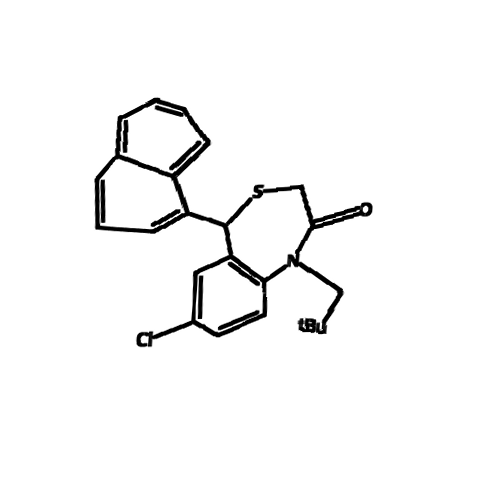 CC(C)(C)CN1C(=O)CSC(c2cccc3ccccc23)c2cc(Cl)ccc21